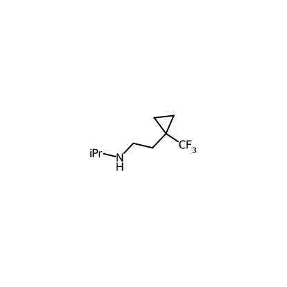 CC(C)NCCC1(C(F)(F)F)CC1